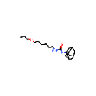 CCCOCCCCCCNC(=O)NC12CC3CC(CC(C3)C1)C2